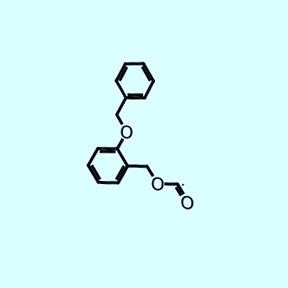 O=[C]OCc1ccccc1OCc1ccccc1